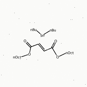 CCCCCCCCOC(=O)C=CC(=O)OCCCCCCCC.CCC[CH2][Sn][CH2]CCC